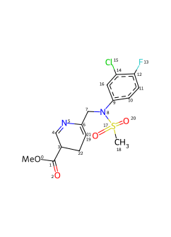 COC(=O)C1C=NC(CN(c2ccc(F)c(Cl)c2)S(C)(=O)=O)=CC1